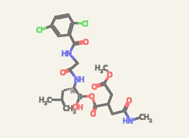 CNC(=O)CC(CC(=O)OC)C(=O)OB(O)[C@H](CC(C)C)NC(=O)CNC(=O)c1cc(Cl)ccc1Cl